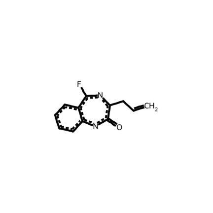 C=CCc1nc(F)c2ccccc2nc1=O